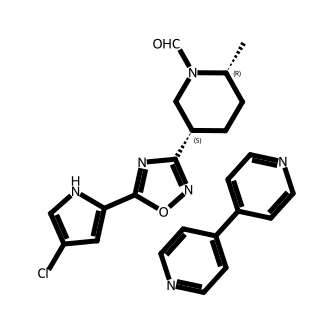 C[C@@H]1CC[C@H](c2noc(-c3cc(Cl)c[nH]3)n2)CN1C=O.c1cc(-c2ccncc2)ccn1